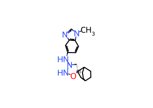 Cn1cnc2cc(NN3C[C@]4(CC5CCC4CC5)ON3)ccc21